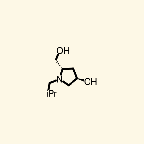 CC(C)CN1C[C@H](O)C[C@H]1CO